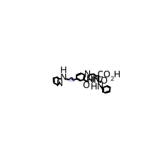 O=C(Nc1ccccc1)N[C@@H](Cc1nc2ccc(/C=C/CNc3ccccn3)cc2c(=O)[nH]1)C(=O)O